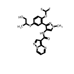 CC(CO)Sc1ccc(OC(F)F)c(-c2nn(C)cc2NC(=O)c2cnn3cccnc23)c1